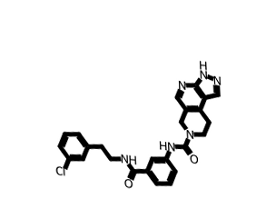 O=C(NCCc1cccc(Cl)c1)c1cccc(NC(=O)N2CCc3c(cnc4[nH]ncc34)C2)c1